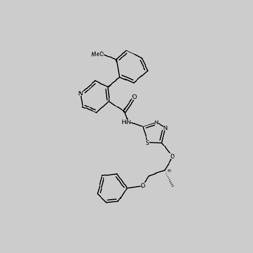 COc1ccccc1-c1cnccc1C(=O)Nc1nnc(O[C@H](C)COc2ccccc2)s1